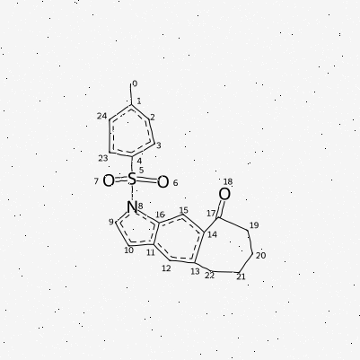 Cc1ccc(S(=O)(=O)n2ccc3cc4c(cc32)C(=O)CCCC4)cc1